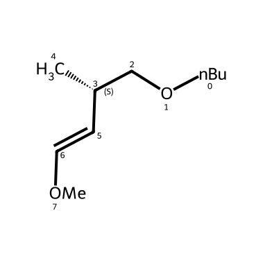 CCCCOC[C@@H](C)C=COC